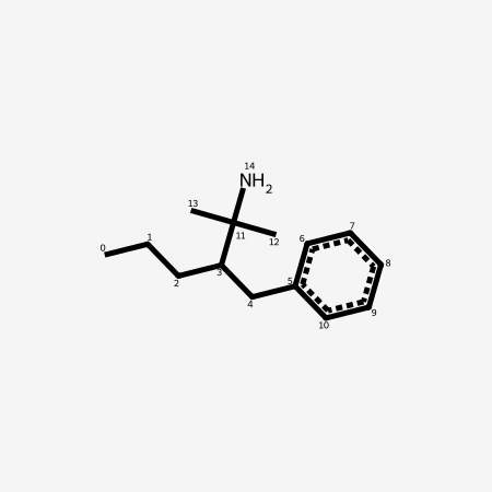 CCCC(Cc1ccccc1)C(C)(C)N